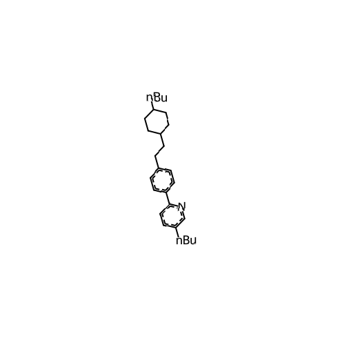 CCCCc1ccc(-c2ccc(CCC3CCC(CCCC)CC3)cc2)nc1